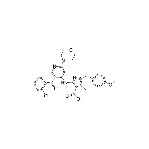 COc1ccc(Cn2nc(Nc3cc(N4CCOCC4)ncc3C(=O)c3ccccc3Cl)c([N+](=O)[O-])c2C)cc1